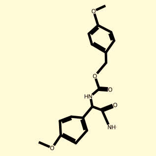 COc1ccc(COC(=O)NC(C([NH])=O)c2ccc(OC)cc2)cc1